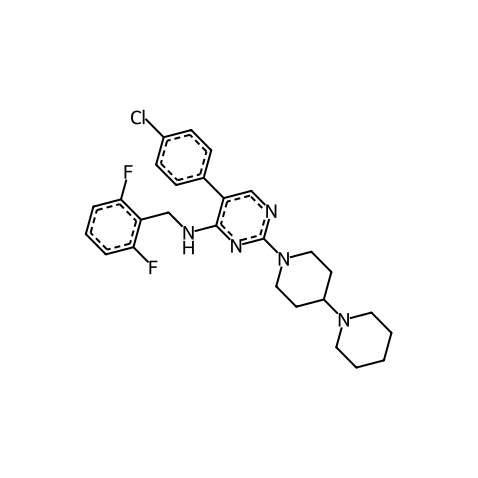 Fc1cccc(F)c1CNc1nc(N2CCC(N3CCCCC3)CC2)ncc1-c1ccc(Cl)cc1